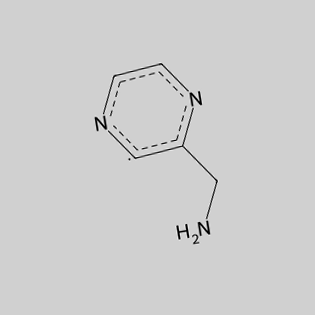 NCc1[c]nccn1